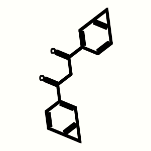 O=C(CC(=O)c1ccc2c(c1)C2)c1ccc2c(c1)C2